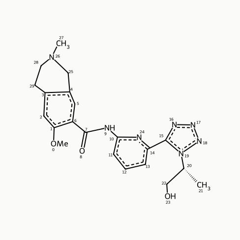 COc1cc2c(cc1C(=O)Nc1cccc(-c3nnnn3[C@H](C)CO)n1)CN(C)CC2